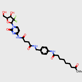 COC(=O)CCCCCCC(=O)Nc1ccc(CNC(=O)CCC(=O)Nc2ccn(C3OC(CO)C(O)C3(F)F)c(=O)n2)cc1